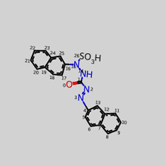 O=C(N=Nc1ccc2ccccc2c1)NN(c1ccc2ccccc2c1)S(=O)(=O)O